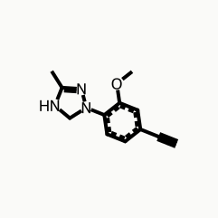 C#Cc1ccc(N2CNC(C)=N2)c(OC)c1